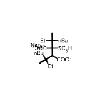 CCCCC(C)(CC)C(C(=O)[O-])C(C(=O)[O-])(C(C)(CC)CCCC)S(=O)(=O)O.[Na+].[Na+]